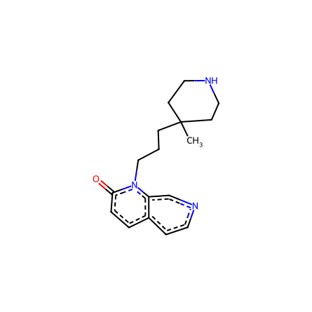 CC1(CCCn2c(=O)ccc3ccncc32)CCNCC1